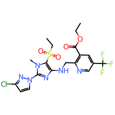 CCOC(=O)c1cc(C(F)(F)F)cnc1CNc1nc(-n2ccc(Cl)n2)n(C)c1S(=O)(=O)CC